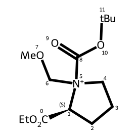 CCOC(=O)[C@@H]1CCC[N+]1(COC)C(=O)OC(C)(C)C